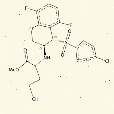 COC(=O)C(CCO)N[C@H]1COc2c(F)ccc(F)c2[C@@H]1S(=O)(=O)c1ccc(Cl)cc1